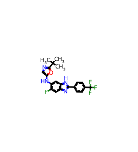 CC(C)(C)c1ncc(Nc2cc3[nH]c(-c4ccc(C(F)(F)F)cc4)nc3cc2F)o1